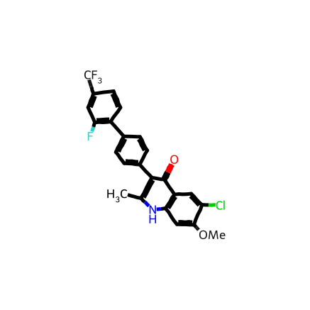 COc1cc2[nH]c(C)c(-c3ccc(-c4ccc(C(F)(F)F)cc4F)cc3)c(=O)c2cc1Cl